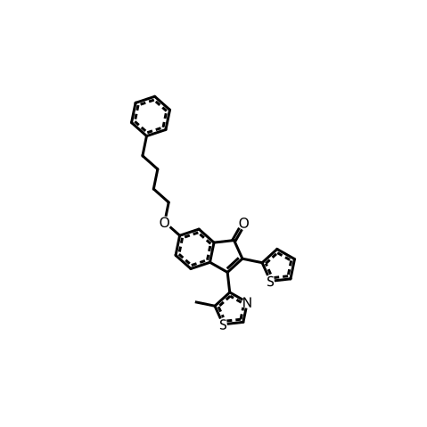 Cc1scnc1C1=C(c2cccs2)C(=O)c2cc(OCCCCc3ccccc3)ccc21